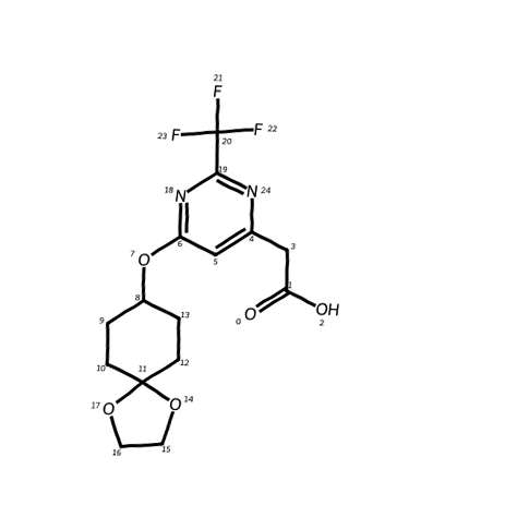 O=C(O)Cc1cc(OC2CCC3(CC2)OCCO3)nc(C(F)(F)F)n1